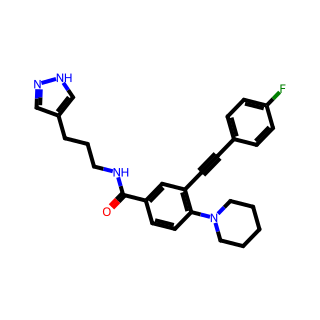 O=C(NCCCc1cn[nH]c1)c1ccc(N2CCCCC2)c(C#Cc2ccc(F)cc2)c1